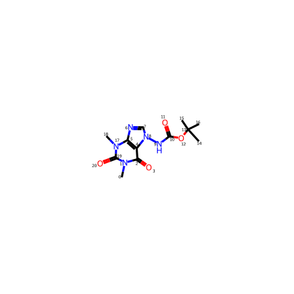 Cn1c(=O)c2c(ncn2NC(=O)OC(C)(C)C)n(C)c1=O